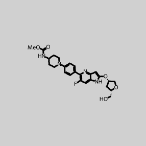 COC(=O)NC1CCN(c2ccc(-c3nc4cc(O[C@@H]5CO[C@H](CO)C5)[nH]c4cc3F)cc2)CC1